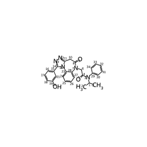 CC(C)N(C(=O)CN1C(=O)Cc2nnc(-c3cccc(O)c3)n2-c2ccccc21)c1ccccc1